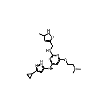 CC1C=C(CNc2nc(Nc3cc(C4CC4)n[nH]3)cc(OCCN(C)C)n2)ON1